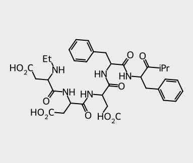 CCNC(CC(=O)O)C(=O)NC(CC(=O)O)C(=O)NC(CC(=O)O)C(=O)NC(Cc1ccccc1)C(=O)NC(Cc1ccccc1)C(=O)C(C)C